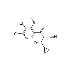 CSc1c(C(=O)C(C#N)C(=O)C2CC2)ccc(Cl)c1Cl